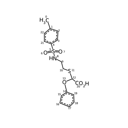 Cc1ccc(S(=O)(=O)NCCSC(Oc2ccccc2)C(=O)O)cc1